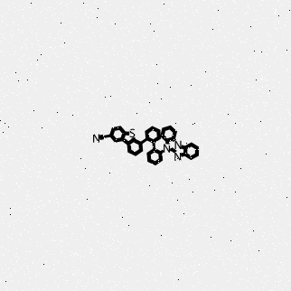 N#Cc1ccc2sc3c(-c4ccccc4-c4ccccc4-n4c5ccccc5n5c6ccccc6nc45)cccc3c2c1